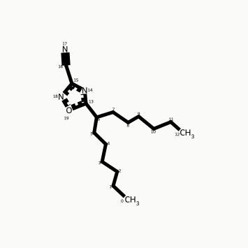 CCCCCCC(CCCCCC)c1nc(C#N)no1